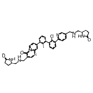 Cc1c(-c2ccn3c(=O)c(CNC[C@H]4CCC(=O)N4)cnc3c2)cccc1-c1cccc(-c2ccc(CNC[C@H]3CCC(=O)N3)cn2)c1Cl